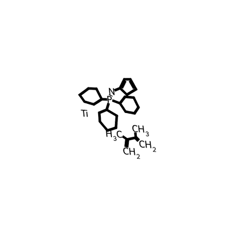 C1=CCC(N=P(C2CCCCC2)(C2CCCCC2)C2CCCCC2)=C1.C=C(C)C(=C)C.[Ti]